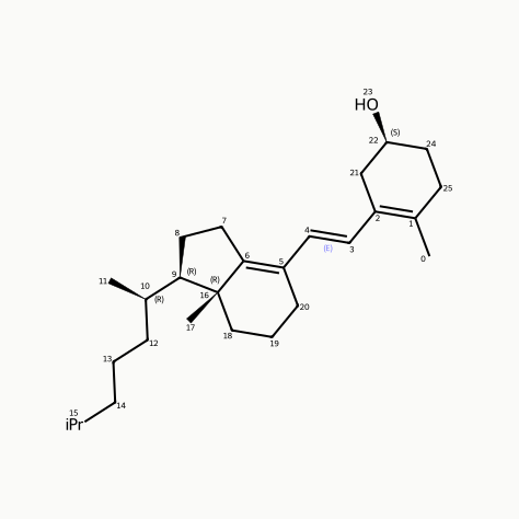 CC1=C(/C=C/C2=C3CC[C@H]([C@H](C)CCCC(C)C)[C@@]3(C)CCC2)C[C@@H](O)CC1